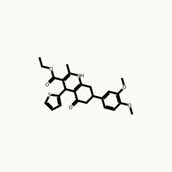 CCOC(=O)C1=C(C)NC2=C(C(=O)CC(c3ccc(OC)c(OC)c3)C2)C1c1cccs1